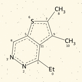 CCc1nncc2sc(C)c(C)c12